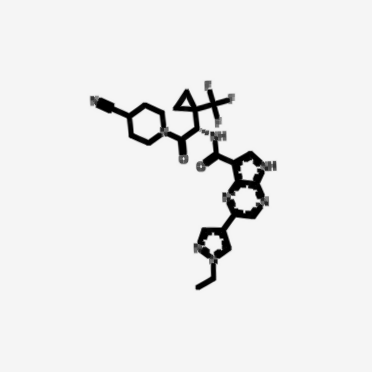 CCn1cc(-c2cnc3[nH]cc(C(=O)N[C@H](C(=O)N4CCC(C#N)CC4)C4(C(F)(F)F)CC4)c3n2)cn1